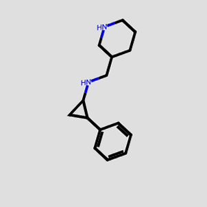 c1ccc(C2CC2NCC2CCCNC2)cc1